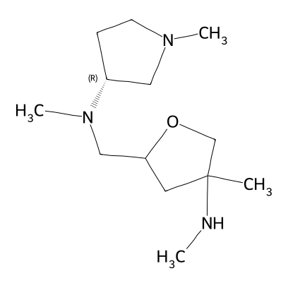 CNC1(C)COC(CN(C)[C@@H]2CCN(C)C2)C1